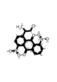 CC(CCl)c1ccc([N+](=O)[O-])c2c1C(=O)c1c(cccc1[N+](=O)[O-])C2=O